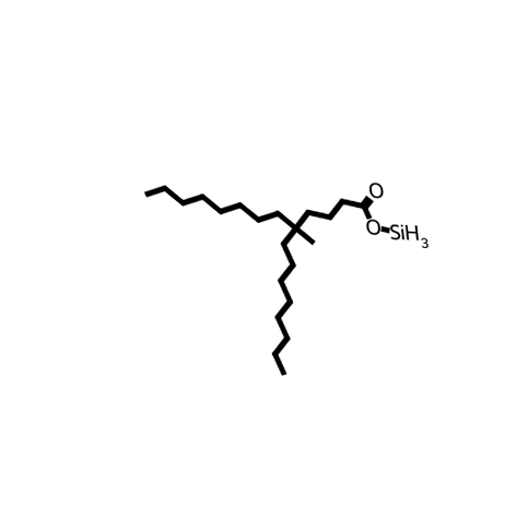 CCCCCCCCC(C)(CCCCCCCC)CCCC(=O)O[SiH3]